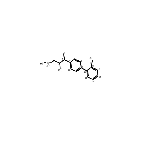 CCOC(=O)CC(Cl)C(C)c1ccc(-c2ccccc2Cl)cc1